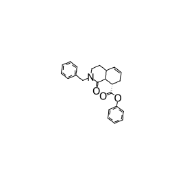 O=C(Oc1ccccc1)[C@H]1CC=CC2CCN(Cc3ccccc3)C(=O)C21